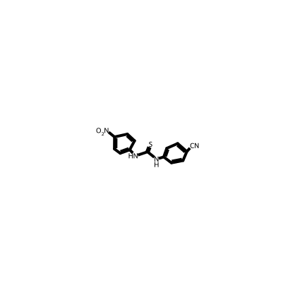 N#Cc1ccc(NC(=S)Nc2ccc([N+](=O)[O-])cc2)cc1